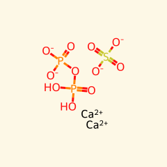 O=P([O-])([O-])OP(=O)(O)O.O=S(=O)([O-])[O-].[Ca+2].[Ca+2]